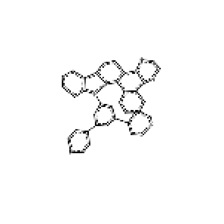 c1ccc2c(c1)c1nccnc1c1ccc3c4ccccc4n(-c4cc(-c5ccncc5)cc(-c5ccncc5)c4)c3c21